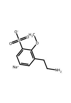 COc1c(CCN)cccc1S(=O)(=O)[O-].[Na+]